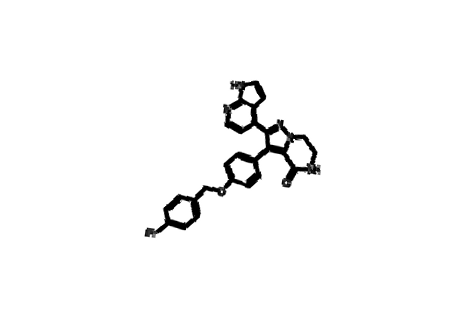 CC(C)c1ccc(COc2ccc(-c3c(-c4ccnc5[nH]ccc45)nn4c3C(=O)NCC4)cc2)cc1